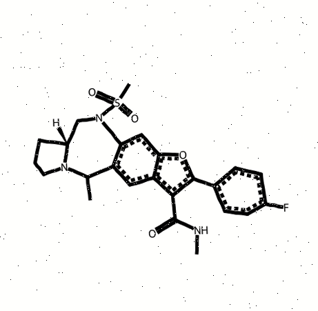 CNC(=O)c1c(-c2ccc(F)cc2)oc2cc3c(cc12)C(C)N1CCC[C@@H]1CN3S(C)(=O)=O